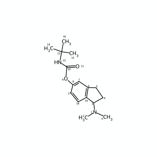 CN(C)C1CCc2cc(OC(=O)NC(C)(C)C)ccc21